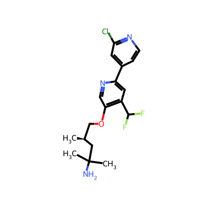 C[C@@H](COc1cnc(-c2ccnc(Cl)c2)cc1C(F)F)CC(C)(C)N